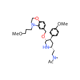 COCCCN1CCOc2ccc(CO[C@H]3CN[C@@H](CCN(C)C(C)=O)C[C@@H]3c3ccc(OC)cc3)cc21